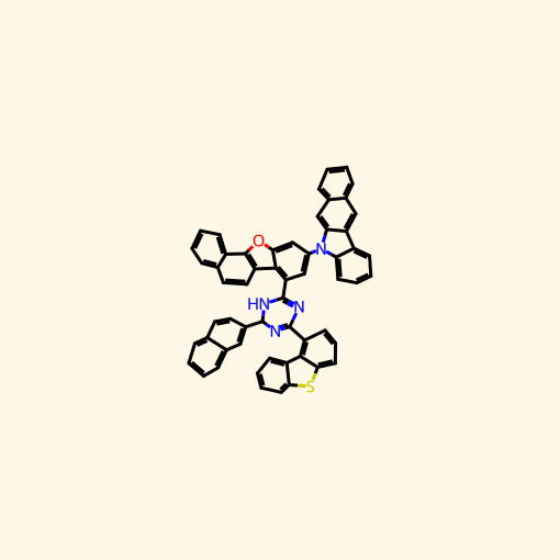 c1ccc2cc(C3N=C(c4cccc5sc6ccccc6c45)N=C(c4cc(-n5c6ccccc6c6cc7ccccc7cc65)cc5oc6c7ccccc7ccc6c45)N3)ccc2c1